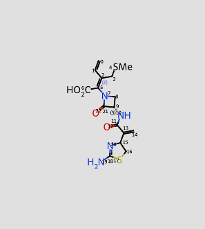 C=C/C(CSC)=C(\C(=O)O)N1C[C@H](NC(=O)C(=C)C2CSC(N)=N2)C1=O